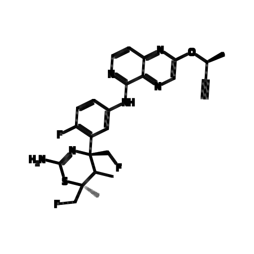 C#C[C@H](C)Oc1cnc2c(Nc3ccc(F)c([C@@]4(CF)N=C(N)S[C@](C)(CF)C4C)c3)nccc2n1